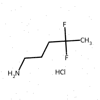 CC(F)(F)CCCN.Cl